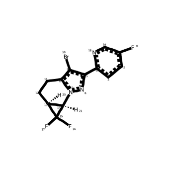 Fc1ccc(-c2nn3c(c2Br)CC[C@H]2[C@@H]3C2(F)F)nc1